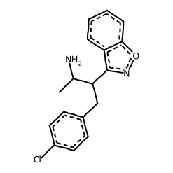 CC(N)C(Cc1ccc(Cl)cc1)c1noc2ccccc12